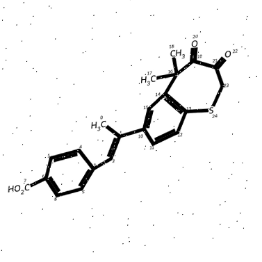 CC(=Cc1ccc(C(=O)O)cc1)c1ccc2c(c1)C(C)(C)C(=O)C(=O)CS2